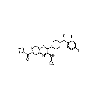 O=C(c1cc2nc(NC3CC3)c(N3CCC(C(F)c4ccc(F)cc4F)CC3)nc2cn1)N1CCC1